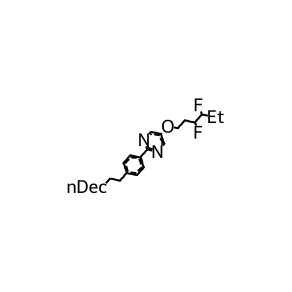 CCCCCCCCCCCCc1ccc(-c2ncc(OCCC(F)C(F)CC)cn2)cc1